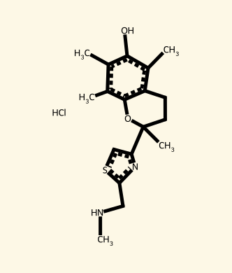 CNCc1nc(C2(C)CCc3c(C)c(O)c(C)c(C)c3O2)cs1.Cl